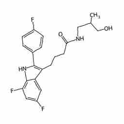 CC(CO)CNC(=O)CCCc1c(-c2ccc(F)cc2)[nH]c2c(F)cc(F)cc12